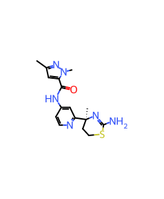 Cc1cc(C(=O)Nc2ccnc([C@]3(C)CCSC(N)=N3)c2)n(C)n1